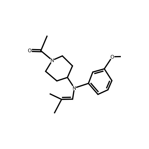 COc1cccc(N(C=C(C)C)C2CCN(C(C)=O)CC2)c1